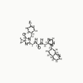 O=C(NCC1=NC2(CC2)C(=O)N1Cc1ccc(F)cc1)NCc1ncnn1-c1ccc2cccnc2c1